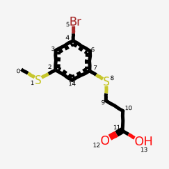 CSc1cc(Br)cc(SCCC(=O)O)c1